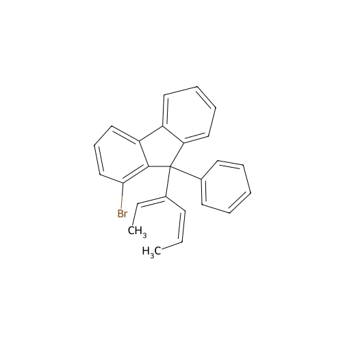 C/C=C\C(=C/C)C1(c2ccccc2)c2ccccc2-c2cccc(Br)c21